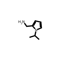 CC(C)n1cccc1CN